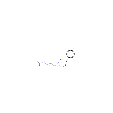 CC(C)NCCCN1CCC(O)(c2ccc(Cl)cc2)CC1